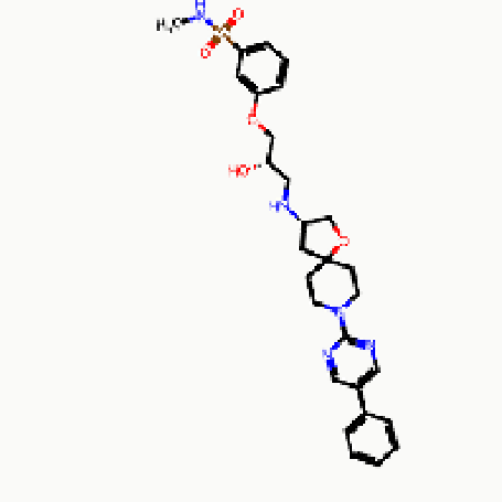 CNS(=O)(=O)c1cccc(OC[C@@H](O)CN[C@H]2COC3(CCN(c4ncc(-c5ccccc5)cn4)CC3)C2)c1